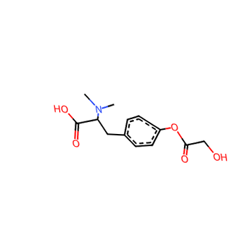 CN(C)C(Cc1ccc(OC(=O)CO)cc1)C(=O)O